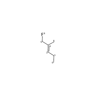 CC/C=C(\C)CF